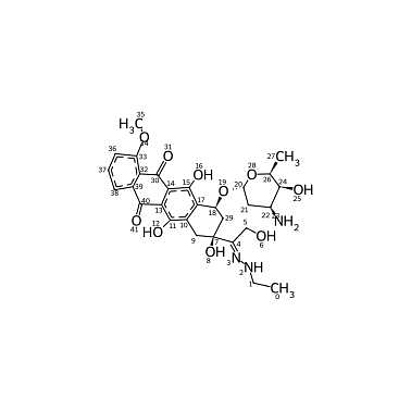 CCN/N=C(\CO)[C@]1(O)Cc2c(O)c3c(c(O)c2[C@@H](O[C@H]2C[C@H](N)[C@H](O)[C@H](C)O2)C1)C(=O)c1c(OC)cccc1C3=O